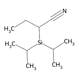 CCC(C#N)[Si](C(C)C)C(C)C